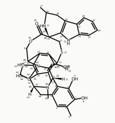 Cc1cc2c(c(O)c1O)[C@H]1C3[C@@H]4SC[C@]5(NC(C)Cc6c5[nH]c5ccccc65)C(=O)OC[C@@H](c5c6c(c(C)c(O)c54)OCO6)N3[C@@H](O)[C@@H](C2)N1C